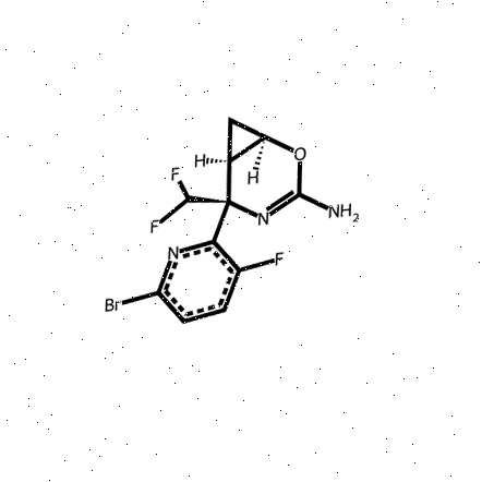 NC1=N[C@@](c2nc(Br)ccc2F)(C(F)F)[C@H]2C[C@H]2O1